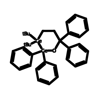 C[C](C)(C)[Ge]1([C](C)(C)C)[CH2]CC(c2ccccc2)(c2ccccc2)[O][Ge]1([c]1ccccc1)[c]1ccccc1